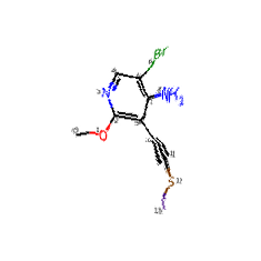 COc1ncc(Br)c(N)c1C#CSI